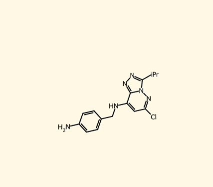 CC(C)c1nnc2c(NCc3ccc(N)cc3)cc(Cl)nn12